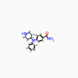 NC(=O)c1ccc(N(c2ccccc2)C2CCNCC2)cc1